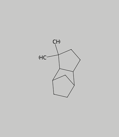 [CH]C1([CH])CCC2C3CCC(C3)C21